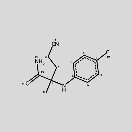 CC(CCC#N)(Nc1ccc(Cl)cc1)C(N)=O